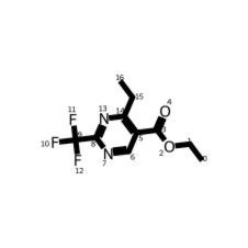 CCOC(=O)c1cnc(C(F)(F)F)nc1CC